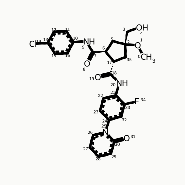 CO[C@@]1(CO)C[C@H](C(=O)Nc2ccc(Cl)cc2)[C@@H](C(=O)Nc2ccc(-n3ccccc3=O)cc2F)C1